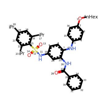 CCCCCCOc1ccc(Nc2ccc(NS(=O)(=O)c3c(C(C)C)cc(C(C)C)cc3C(C)C)cc2NC(=O)c2ccccc2)cc1